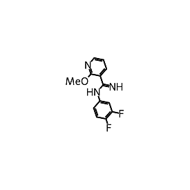 COc1ncccc1C(=N)Nc1ccc(F)c(F)c1